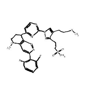 COCCc1cn(-c2nccc(C3CC[C@H](C)c4cc(-c5c(F)cccc5F)nnc43)n2)nc1CCS(C)(=O)=O